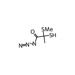 CSC(C)(S)C(=O)N=[N+]=[N-]